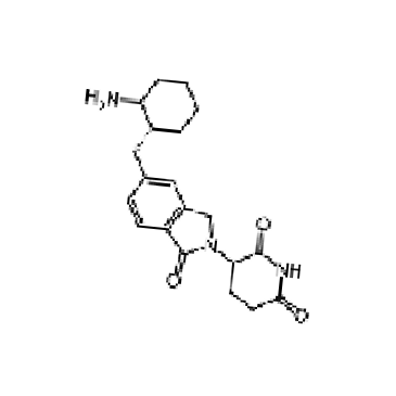 NC1CCCC[C@@H]1Cc1ccc2c(c1)CN(C1CCC(=O)NC1=O)C2=O